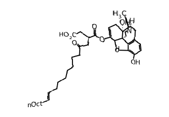 CCCCCCCC/C=C/CCCCCCCC(=O)C[C@@H](CC(=O)O)C(=O)OC1=CC[C@@]2(O)[C@H]3Cc4ccc(O)c5c4[C@@]2(CCN3C)[C@H]1O5